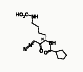 [N-]=[N+]=CC(=O)[C@H](CCCCNC(=O)O)NC(=O)C1CCCC1